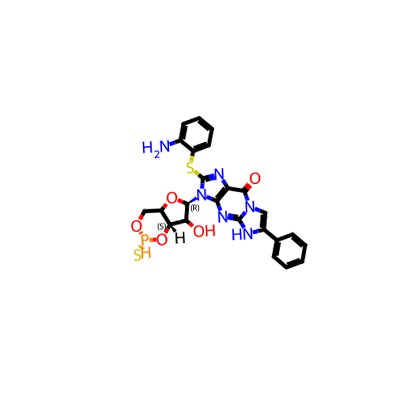 Nc1ccccc1Sc1nc2c(=O)n3cc(-c4ccccc4)[nH]c3nc2n1[C@@H]1OC2CO[PH](=S)O[C@H]2C1O